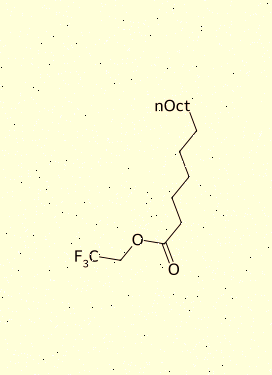 CCCCCCCCCCCCCC(=O)OCC(F)(F)F